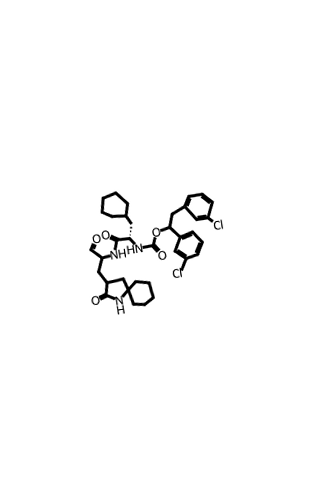 O=CC(CC1CC2(CCCCC2)NC1=O)NC(=O)[C@H](CC1CCCCC1)NC(=O)OC(Cc1cccc(Cl)c1)c1cccc(Cl)c1